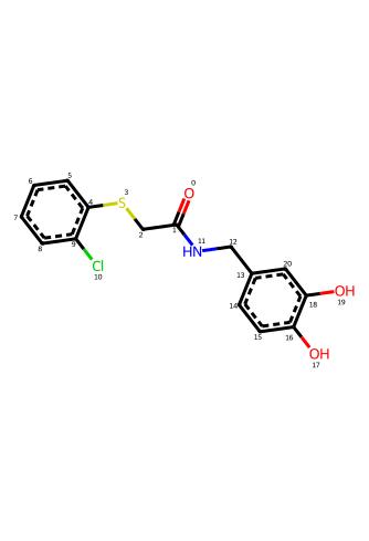 O=C(CSc1ccccc1Cl)NCc1ccc(O)c(O)c1